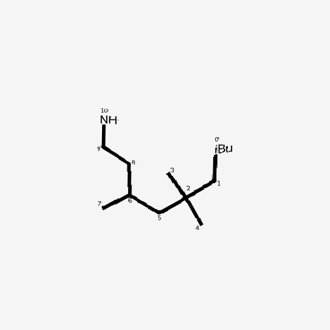 CCC(C)CC(C)(C)CC(C)CC[NH]